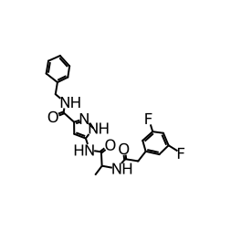 CC(NC(=O)Cc1cc(F)cc(F)c1)C(=O)Nc1cc(C(=O)NCc2ccccc2)n[nH]1